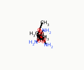 CCCCCCCCOC(=O)CCC(C)C1CC[C@H]2[C@@H]3[C@H](OC(=O)CCN)C[C@@H]4C[C@H](OC(=O)CCCN)CC[C@]4(C)[C@H]3C[C@H](OC(=O)CCCN)[C@]12C